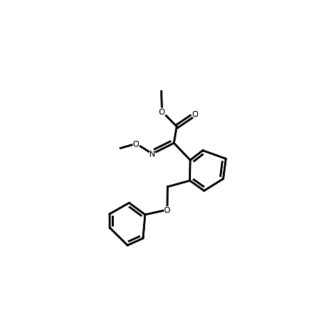 CON=C(C(=O)OC)c1ccccc1COc1ccccc1